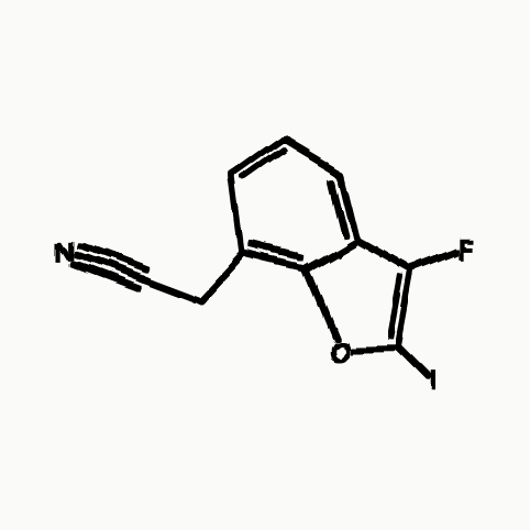 N#CCc1cccc2c(F)c(I)oc12